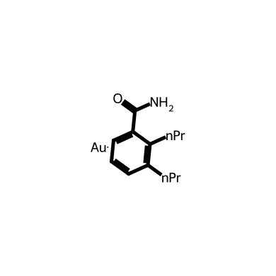 CCCc1cccc(C(N)=O)c1CCC.[Au]